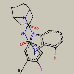 Cc1cc(NC(=O)N2C3CCC2CC(n2c(=O)[nH]c4c(Br)cccc42)C3)ccc1I